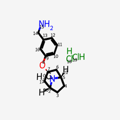 CN1[C@@H]2CC[C@H]1C[C@@H](Oc1cccc(CN)c1)C2.Cl.Cl